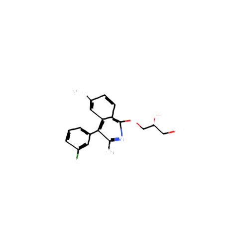 COc1ccc2c(OC[C@@H](O)CO)nc(C#N)c(-c3cccc(Cl)c3)c2c1